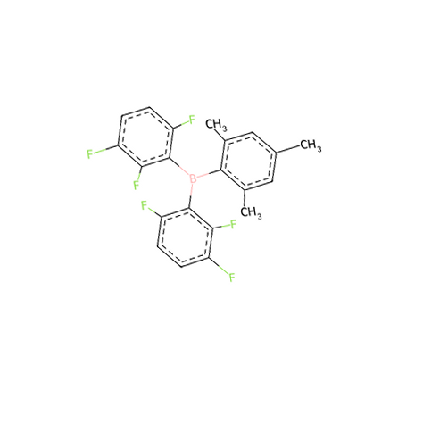 Cc1cc(C)c(B(c2c(F)ccc(F)c2F)c2c(F)ccc(F)c2F)c(C)c1